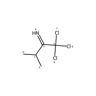 CC(C)C(=N)C(Cl)(Cl)Cl